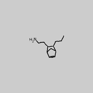 CCCC1C2C=CC(C2)C1CCN